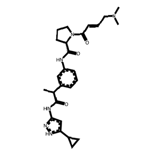 CC(C(=O)Nc1cc(C2CC2)[nH]n1)c1cccc(NC(=O)C2CCCN2C(=O)/C=C/CN(C)C)c1